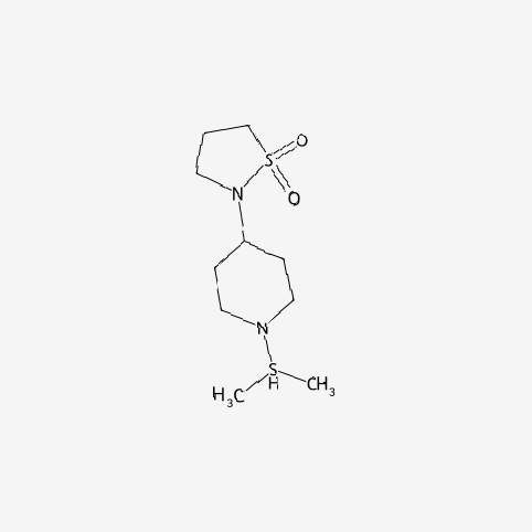 C[SH](C)N1CCC(N2CCCS2(=O)=O)CC1